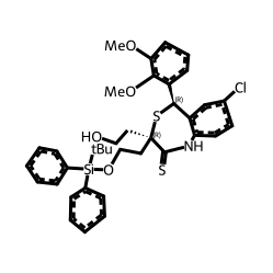 COc1cccc([C@@H]2S[C@](CCO)(CCO[Si](c3ccccc3)(c3ccccc3)C(C)(C)C)C(=S)Nc3ccc(Cl)cc32)c1OC